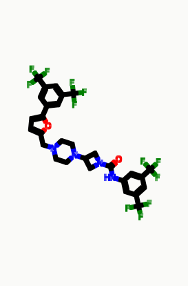 O=C(Nc1cc(C(F)(F)F)cc(C(F)(F)F)c1)N1CC(N2CCN(Cc3ccc(-c4cc(C(F)(F)F)cc(C(F)(F)F)c4)o3)CC2)C1